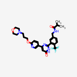 CC(C)C(=O)NCc1ccc(C(F)(F)F)c(-c2nc(-c3ccc(OCCCN4CCOCC4)nc3)cc(=O)[nH]2)c1